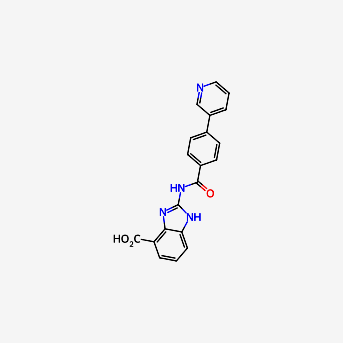 O=C(Nc1nc2c(C(=O)O)cccc2[nH]1)c1ccc(-c2cccnc2)cc1